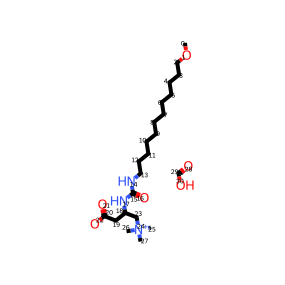 COCCCCCCCCCCCCNC(=O)NC(CC(=O)[O-])C[N+](C)(C)C.O=CO